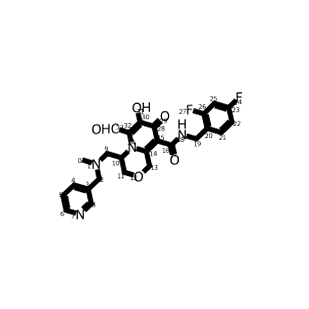 CN(Cc1cccnc1)CC1COCc2c(C(=O)NCc3ccc(F)cc3F)c(=O)c(O)c(C=O)n21